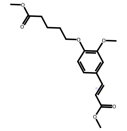 COC(=O)/C=C/c1ccc(OCCCCC(=O)OC)c(OC)c1